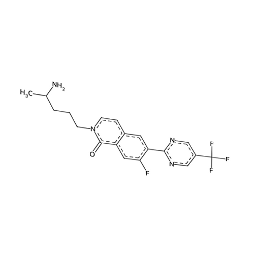 CC(N)CCCn1ccc2cc(-c3ncc(C(F)(F)F)cn3)c(F)cc2c1=O